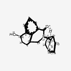 O=C1c2cccc3c2C(CC[C@H]3O)CN1[C@@H]1CN2CCC1CC2